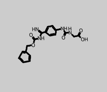 N=C(NC(=O)OCc1ccccc1)c1ccc(NC(=O)NCC(=O)O)cc1